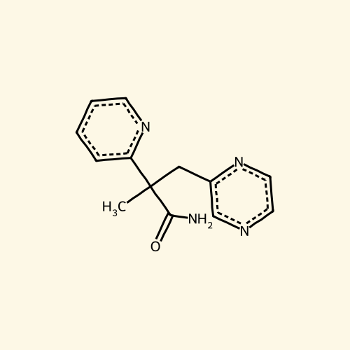 CC(Cc1cnccn1)(C(N)=O)c1ccccn1